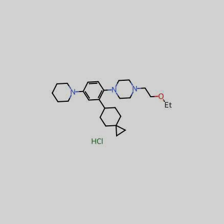 CCOCCN1CCN(c2ccc(N3CCCCC3)cc2C2CCC3(CC2)CC3)CC1.Cl